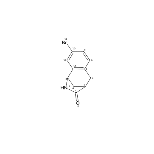 O=C1NC2CC1Cc1ccc(Br)cc12